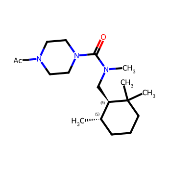 CC(=O)N1CCN(C(=O)N(C)C[C@@H]2[C@@H](C)CCCC2(C)C)CC1